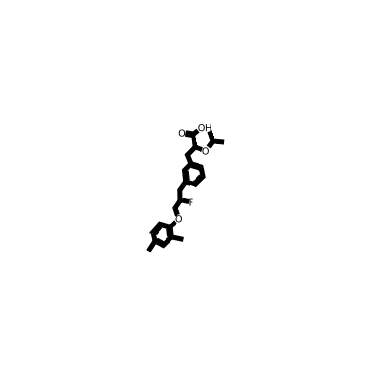 Cc1ccc(OCC(F)Cc2cccc(CC(OC(C)C)C(=O)O)c2)c(C)c1